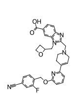 N#Cc1ccc(COc2cccc(C3=CCN(Cc4nc5ccc(C(=O)O)cc5n4CC4CCO4)CC3)n2)c(F)c1